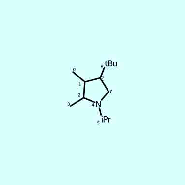 CC1C(C)N(C(C)C)CC1C(C)(C)C